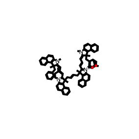 CC(C)CC[N+]1=C(/C=C/C=C2/N(C)c3ccc4ccccc4c3C2(C)Cc2ccccc2)C(C)(CC=CCC2(C)C(/C=C/C=C3/N(C)c4ccc5ccccc5c4C3(C)Cc3ccccc3)=[N+](CCC(C)C)c3ccc4ccccc4c32)c2c1ccc1ccccc21